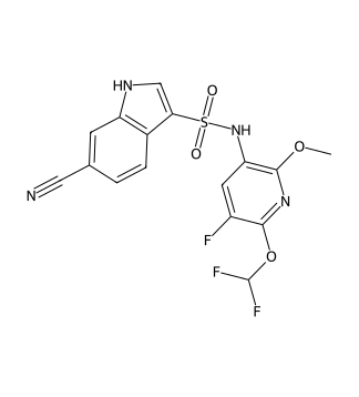 COc1nc(OC(F)F)c(F)cc1NS(=O)(=O)c1c[nH]c2cc(C#N)ccc12